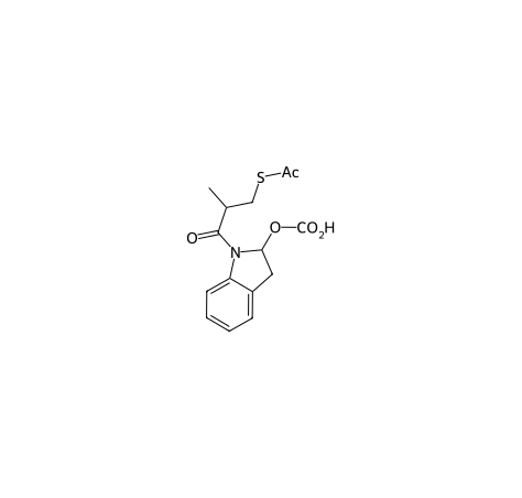 CC(=O)SCC(C)C(=O)N1c2ccccc2CC1OC(=O)O